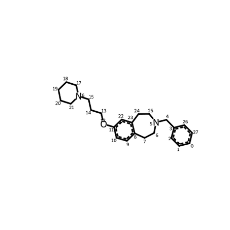 c1ccc(CN2CCc3ccc(OCCCN4CCCCC4)cc3CC2)cc1